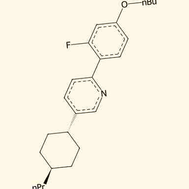 CCCCOc1ccc(-c2ccc([C@H]3CC[C@H](CCC)CC3)cn2)c(F)c1